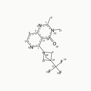 Cc1nc2ccnc(C34CC(C(F)(F)F)(C3)C4)c2c(=O)n1C